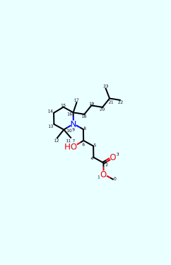 COC(=O)CCC(O)CN1C(C)(C)CCCC1(C)CCCC(C)C